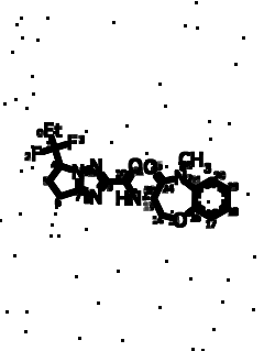 CCC(F)(F)C1CCc2nc(C(=O)N[C@H]3COc4ccccc4N(C)C3=O)nn21